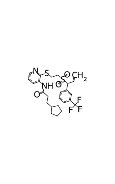 C=CC(c1cccc(C(F)(F)F)c1)S(=O)(=O)CCSc1ncccc1NC(=O)CCC1CCCC1